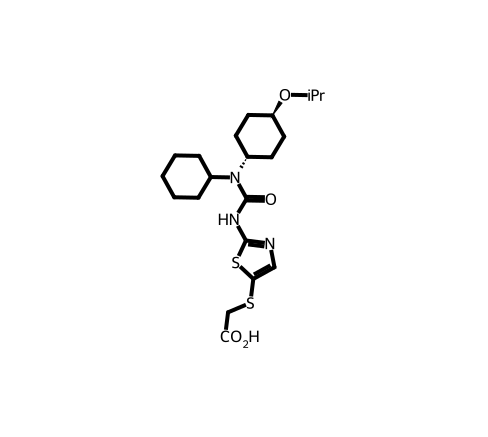 CC(C)O[C@H]1CC[C@H](N(C(=O)Nc2ncc(SCC(=O)O)s2)C2CCCCC2)CC1